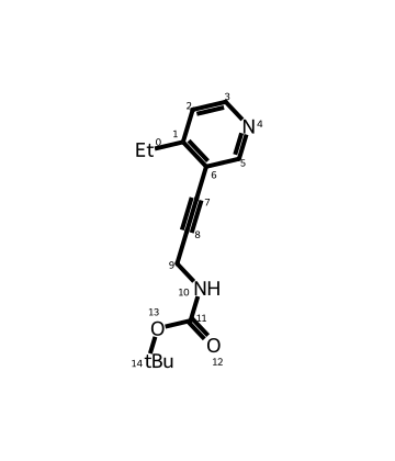 CCc1ccncc1C#CCNC(=O)OC(C)(C)C